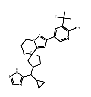 Nc1ncc(-c2cc3n(n2)CCO[C@@]32CCN(C(c3ncn[nH]3)C3CC3)C2)cc1C(F)(F)F